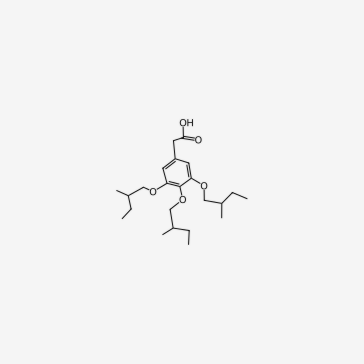 CCC(C)COc1cc(CC(=O)O)cc(OCC(C)CC)c1OCC(C)CC